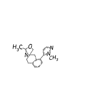 CC1=NC2(CCc3cccc(-c4ccnn4C)c3C2)CO1